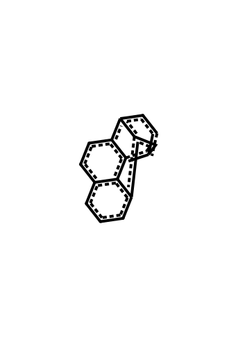 c1cc2ccc3c4ccc5cc4c(c1)c2c53